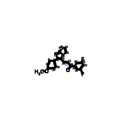 COc1ccc(-c2nc3sccn3c2/C=C/C(=O)c2cc(F)cc(F)c2)cc1